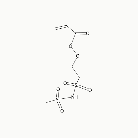 C=CC(=O)OOCCS(=O)(=O)NS(C)(=O)=O